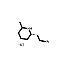 CC(C)CC[C@@H]1CCCC(C)N1.Cl